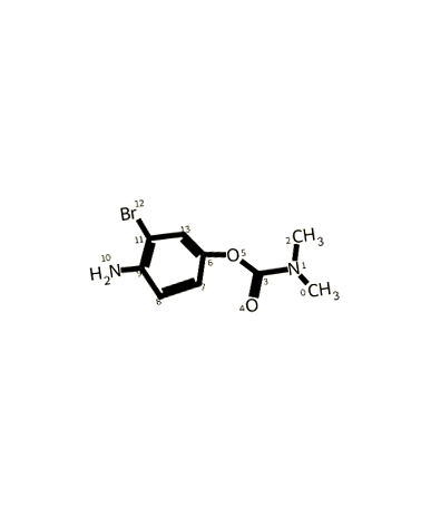 CN(C)C(=O)Oc1ccc(N)c(Br)c1